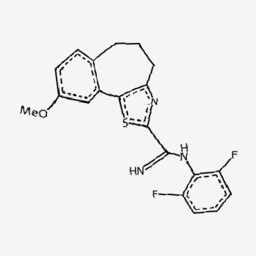 COc1ccc2c(c1)-c1sc(C(=N)Nc3c(F)cccc3F)nc1CCC2